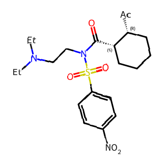 CCN(CC)CCN(C(=O)[C@H]1CCCC[C@H]1C(C)=O)S(=O)(=O)c1ccc([N+](=O)[O-])cc1